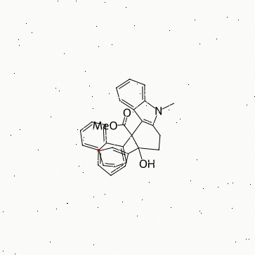 COC(=O)C1(c2cccc3ccccc23)c2c(n(C)c3ccccc23)CCC1(O)c1ccccc1